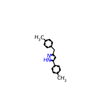 Cc1ccc(Cc2cc(-c3ccc(C)cc3)[nH]n2)cc1